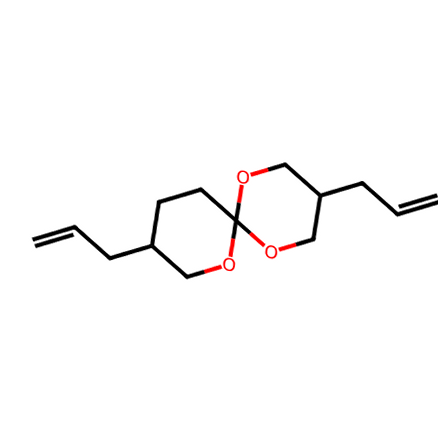 C=CCC1CCC2(OC1)OCC(CC=C)CO2